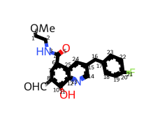 COCCNC(=O)c1cc(C=O)c(O)c2ncc(Cc3ccc(F)cc3)cc12